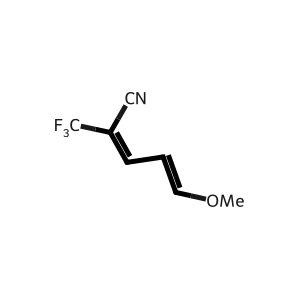 CO/C=C/C=C(\C#N)C(F)(F)F